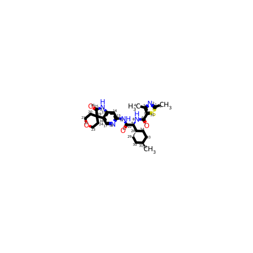 Cc1nc(C)c(C(=O)N[C@H](C(=O)Nc2cc3c(cn2)C2(CCOCC2)C(=O)N3)[C@H]2CC[C@H](C)CC2)s1